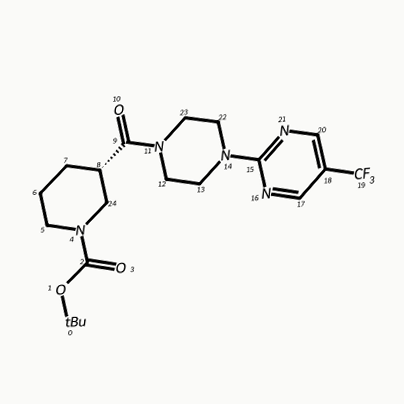 CC(C)(C)OC(=O)N1CCC[C@H](C(=O)N2CCN(c3ncc(C(F)(F)F)cn3)CC2)C1